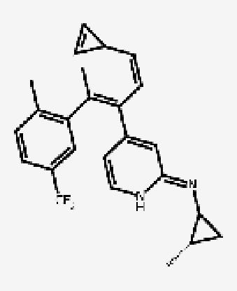 C/C(=C(\C=C/C1C=C1)c1cc[nH]/c(=N\C2C[C@@H]2C)c1)c1cc(C(F)(F)F)ccc1C